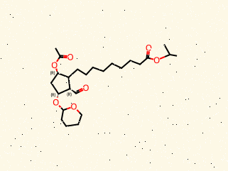 CC(=O)O[C@@H]1C[C@@H](OC2CCCCO2)[C@H](C=O)C1CCCCCCCCC(=O)OC(C)C